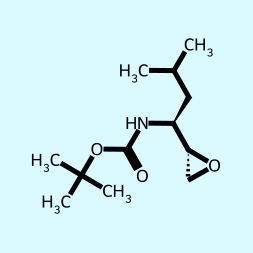 CC(C)C[C@H](NC(=O)OC(C)(C)C)[C@H]1CO1